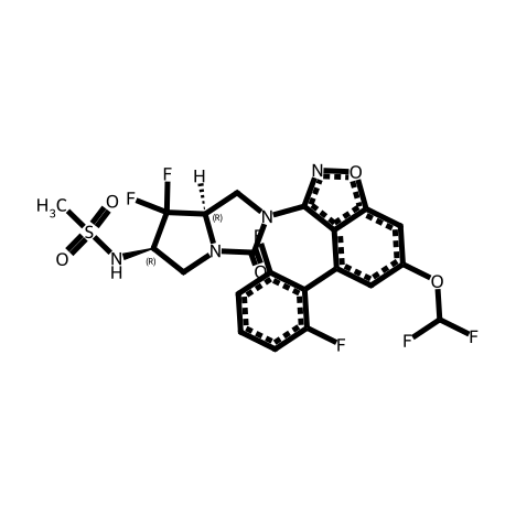 CS(=O)(=O)N[C@@H]1CN2C(=O)N(c3noc4cc(OC(F)F)cc(-c5c(F)cccc5F)c34)C[C@@H]2C1(F)F